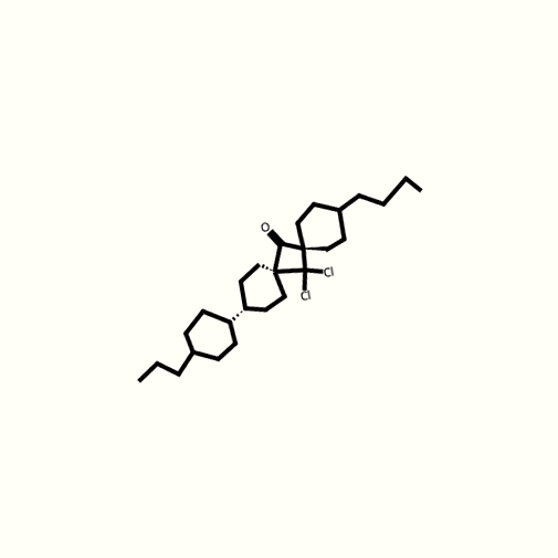 CCCCC1CC[C@]2(CC1)C(=O)[C@@]1(CC[C@@H](C3CCC(CCC)CC3)CC1)C2(Cl)Cl